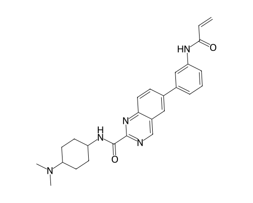 C=CC(=O)Nc1cccc(-c2ccc3nc(C(=O)NC4CCC(N(C)C)CC4)ncc3c2)c1